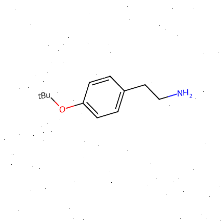 CC(C)(C)Oc1ccc(CCN)cc1